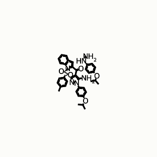 CC(C)Oc1ccc(NN)cc1.Cc1ccc(S(=O)(=O)n2c(C(=O)c3cnn(-c4ccc(OC(C)C)cc4)c3N)cc3ccccc32)cc1